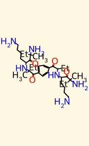 CCC(NC(CCCCN)C(=O)C(C)(N)CC)C(=O)c1ccc(C(=O)C(C)(CC)NC(CCCCN)C(=O)C(C)(N)CC)cc1